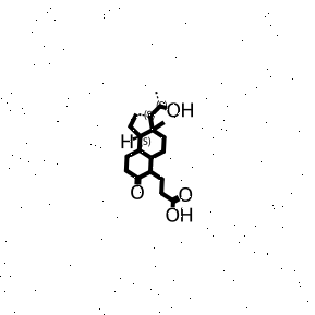 C[C@H](O)[C@H]1CC[C@H]2C3CCC(=O)C(CCC(=O)O)C3CCC12C